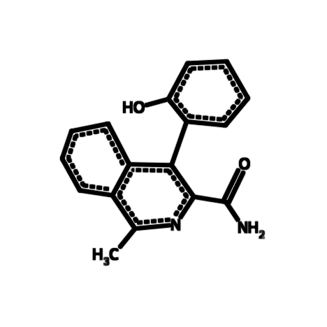 Cc1nc(C(N)=O)c(-c2ccccc2O)c2ccccc12